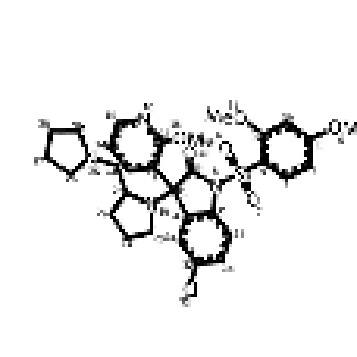 COc1ccc(S(=O)(=O)N2C(=O)C(c3cccnc3OC)(N3CCCC3CN3CCCC3)c3cc(Cl)ccc32)c(OC)c1